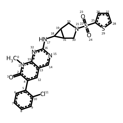 Cn1c(=O)c(-c2ccccc2Cl)cc2cnc(NC3C4CN(S(=O)(=O)c5cccs5)CC43)nc21